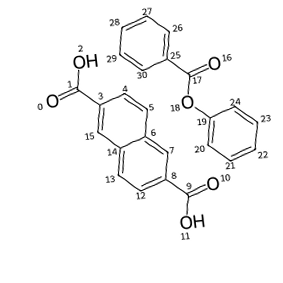 O=C(O)c1ccc2cc(C(=O)O)ccc2c1.O=C(Oc1ccccc1)c1ccccc1